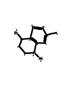 CCC1CCN(C(C)=O)c2cc(C)ccc21